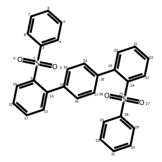 O=S(=O)(c1ccccc1)c1ccccc1-c1ccc(-c2ccccc2S(=O)(=O)c2ccccc2)cc1